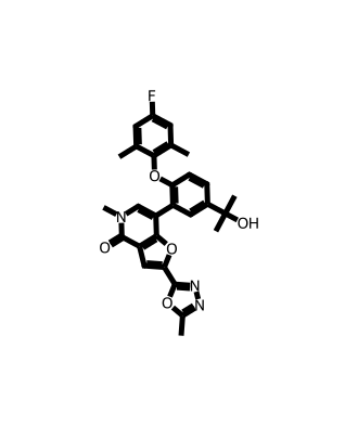 Cc1nnc(-c2cc3c(=O)n(C)cc(-c4cc(C(C)(C)O)ccc4Oc4c(C)cc(F)cc4C)c3o2)o1